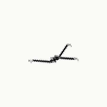 CCCCCCCCCCCCCCCCCC/[O+]=C1C=C/C(=C2/C(=O)C(c3ccc(N(CCCCCCCCCCCCCCCC)CCCCCCCCCCCCCCCC)cc3OC)=C2O)N=C\1